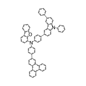 c1ccc(-c2ccc3c(c2)c2cc(-c4ccc(N(c5ccc(-c6ccc7c8ccccc8c8ccccc8c7c6)cc5)c5cccc6c5oc5ccccc56)cc4)ccc2n3-c2ccccc2)cc1